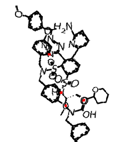 COc1ccc(CN(Cc2ccc(OC)cc2)S(=O)(=O)c2c(S(=O)(=O)N[C@H](COC3CCCCO3)CN(Cc3ccccc3)C(=O)O)ccc(-c3cccc(N)n3)c2-c2nnn(Cc3ccc(OC)cc3)n2)cc1